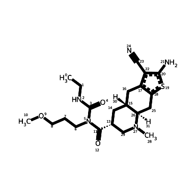 CCNC(=O)N(CCCOC)C(=O)[C@@H]1C[C@@H]2Cc3c(sc(N)c3C#N)C[C@H]2N(C)C1